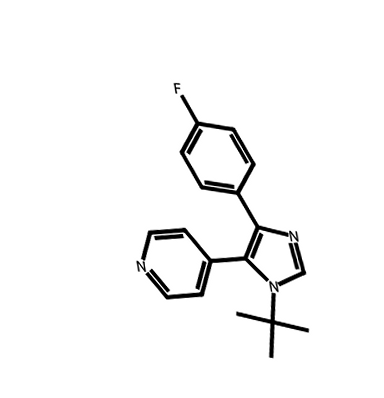 CC(C)(C)n1cnc(-c2ccc(F)cc2)c1-c1ccncc1